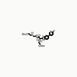 COCCNCCNC(=O)C(c1nc2ccc(-c3ccc(F)nc3)cc2s1)S(=O)(=O)CCOC